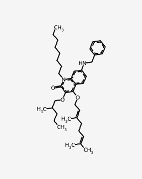 CCCCCCCCn1c(=O)c(OCC(C)CCC)c(OC/C=C(\C)CCC=C(C)C)c2ccc(NCc3ccccc3)cc21